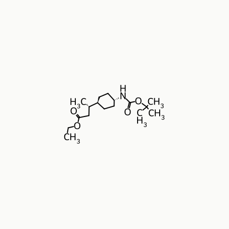 CCOC(=O)C[C@H](C)[C@H]1CC[C@H](NC(=O)OC(C)(C)C)CC1